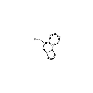 CCCCCc1cn2cccc2c2cncnc12